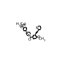 COc1ccc(C(=O)N2CCN(c3ccc(S(C)(=O)=O)cc3)CC2)cc1C#Cc1ccccn1